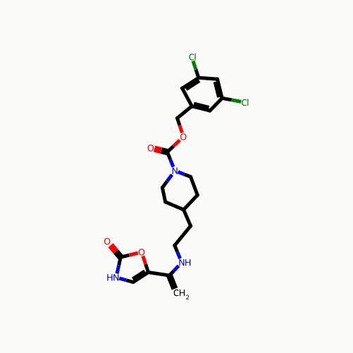 C=C(NCCC1CCN(C(=O)OCc2cc(Cl)cc(Cl)c2)CC1)c1c[nH]c(=O)o1